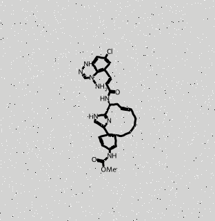 COC(=O)Nc1ccc2c(c1)CCCC/C=C/C[C@H](NC(=O)/C=C/c1cc(Cl)ccc1N(N)/C=N\N)c1nc-2c[nH]1